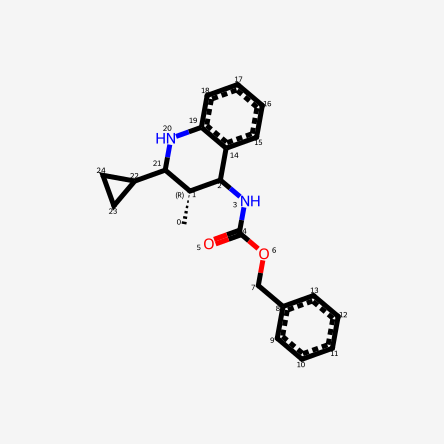 C[C@H]1C(NC(=O)OCc2ccccc2)c2ccccc2NC1C1CC1